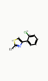 CCc1nc(-c2ccccc2Cl)cs1